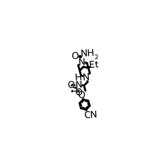 CCC12CC(CN(CC(COc3ccc(C#N)cc3)NS(C)(=O)=O)C1)CN(C(N)=O)C2